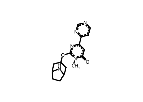 Cn1c(OC2CC3CCC(C2)N3)nc(-c2ccncn2)cc1=O